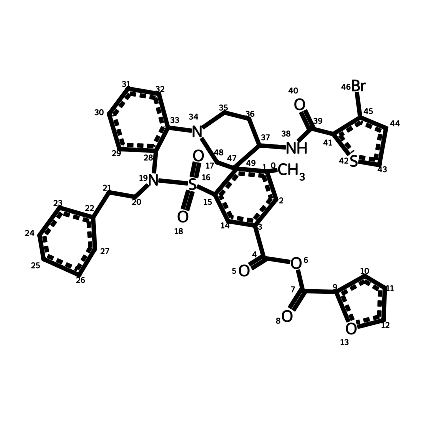 Cc1cc(C(=O)OC(=O)c2ccco2)cc(S(=O)(=O)N(CCc2ccccc2)c2ccccc2N2CCC(NC(=O)c3sccc3Br)CC2)c1